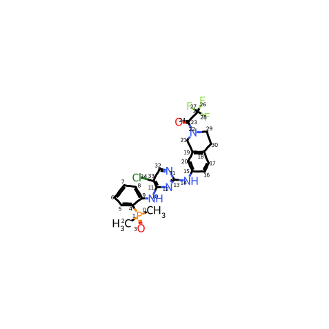 CP(C)(=O)c1ccccc1Nc1nc(Nc2ccc3c(c2)CN(C(=O)C(F)(F)F)CC3)ncc1Cl